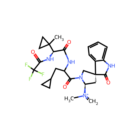 C=[N+](C)[C@@H]1C[C@@]2(CN1C(=O)C(CC1CC1)NC(=O)[C@@H](NC(=O)C(F)(F)F)C1(C)CC1)C(=O)Nc1ccccc12